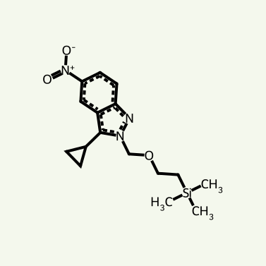 C[Si](C)(C)CCOCn1nc2ccc([N+](=O)[O-])cc2c1C1CC1